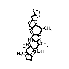 CC(=O)CC1OC[C@@H]2O[C@@H]3C[C@@H]4O[C@@H]5[C@@H](C)[C@H](C)C6(CCCO6)O[C@H]5[C@@H](O)[C@H](C)[C@H]4O[C@H]3C[C@@H](C)CC2O1